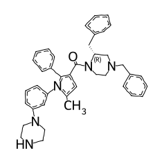 Cc1cc(C(=O)N2CCN(Cc3ccccc3)C[C@H]2Cc2ccccc2)c(-c2ccccc2)n1-c1cccc(N2CCNCC2)c1